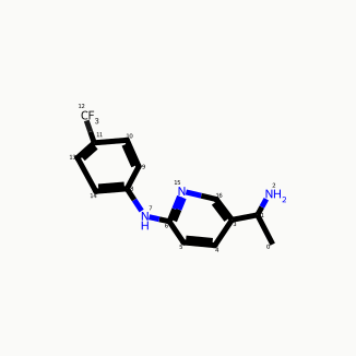 CC(N)c1ccc(Nc2ccc(C(F)(F)F)cc2)nc1